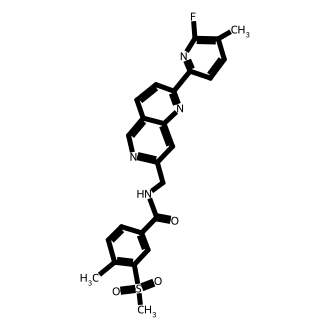 Cc1ccc(C(=O)NCc2cc3nc(-c4ccc(C)c(F)n4)ccc3cn2)cc1S(C)(=O)=O